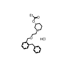 CCC(=O)O[C@@H]1CCCN(CCOCc2ccccc2Cc2ccccc2)C1.Cl